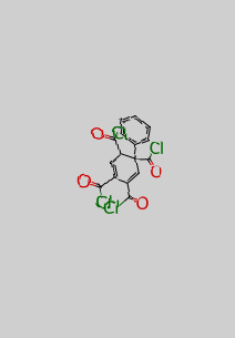 O=C(Cl)C1=CC(C(=O)Cl)C(C(=O)Cl)(c2ccccc2)C=C1C(=O)Cl